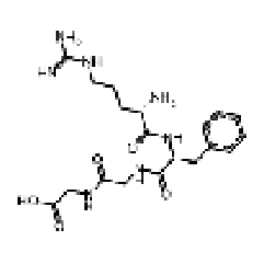 N=C(N)NCCC[C@H](N)C(=O)N[C@@H](Cc1ccccc1)C(=O)NCC(=O)NCC(=O)O